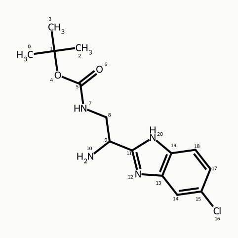 CC(C)(C)OC(=O)NCC(N)c1nc2cc(Cl)ccc2[nH]1